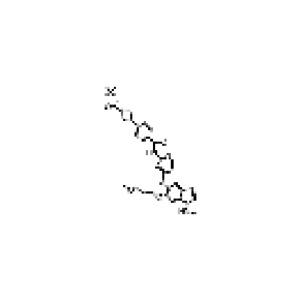 CNn1ccc2cc(Oc3ccnc(NC(=O)c4ccc(C5CN(C(=O)OC(C)(C)C)C5)cc4)c3)c(OCCCOC)cc21